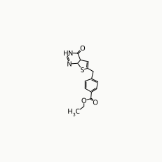 CCOC(=O)c1ccc(CC2=CC3C(=O)NC=NC3S2)cc1